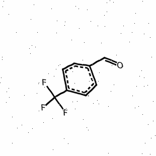 O=Cc1c[c]c(C(F)(F)F)cc1